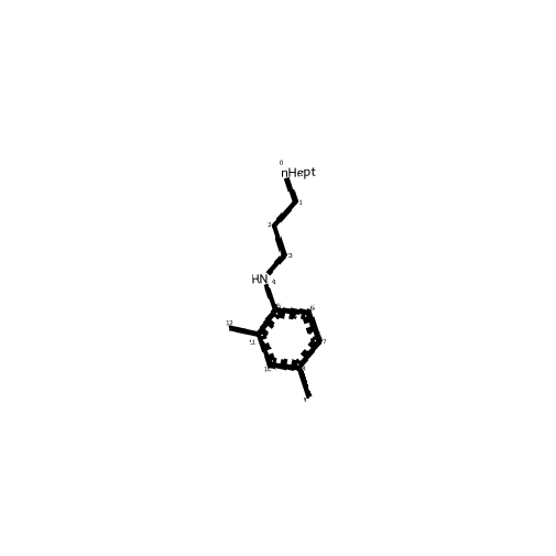 CCCCCCCCCCNc1ccc(C)cc1C